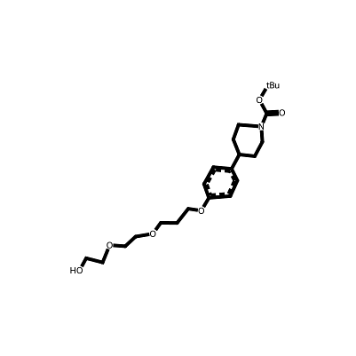 CC(C)(C)OC(=O)N1CCC(c2ccc(OCCCOCCOCCO)cc2)CC1